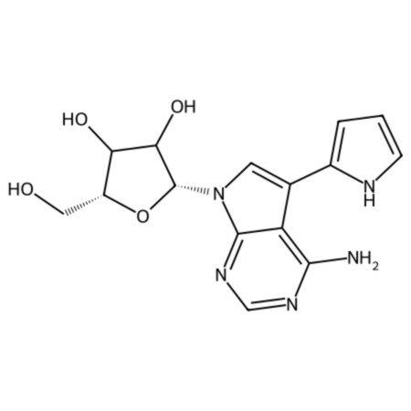 Nc1ncnc2c1c(-c1ccc[nH]1)cn2[C@@H]1O[C@H](CO)C(O)C1O